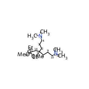 CCC(CCCN(C)C)(CCCN(C)C)C[Si](CC)(OC)OC